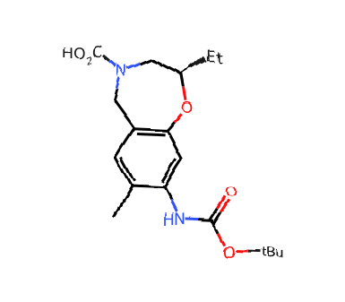 CC[C@@H]1CN(C(=O)O)Cc2cc(C)c(NC(=O)OC(C)(C)C)cc2O1